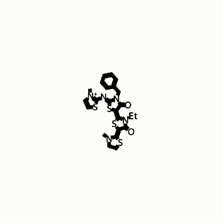 CCn1c(=O)/c(=C2\SCCN2C)s/c1=C1\S/C(=N\c2scc[n+]2C)N(Cc2ccccc2)C1=O